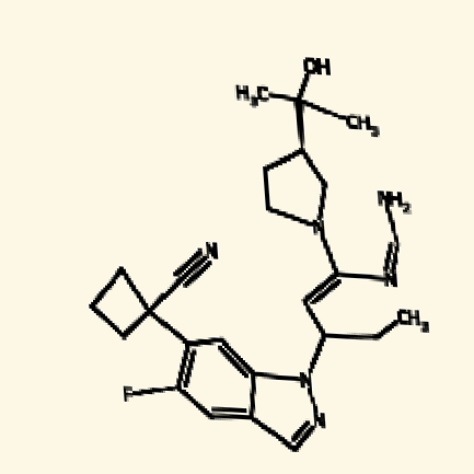 CCC(/C=C(\N=C/N)N1CC[C@@H](C(C)(C)O)C1)n1ncc2cc(F)c(C3(C#N)CCC3)cc21